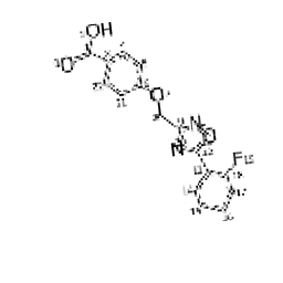 O=C(O)c1ccc(OCc2noc(-c3ccccc3F)n2)cc1